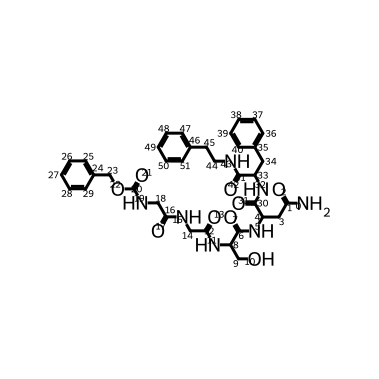 NC(=O)CC(NC(=O)C(CO)NC(=O)CNC(=O)CNC(=O)OCc1ccccc1)C(=O)NC(Cc1ccccc1)C(=O)NCCc1ccccc1